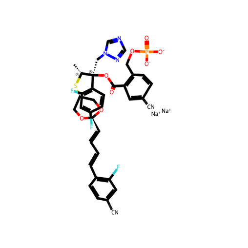 C[C@@H](S[C@H]1CO[C@H](C=CC=Cc2ccc(C#N)cc2F)OC1)[C@@](Cn1cncn1)(OC(=O)c1cc(C#N)ccc1COP(=O)([O-])[O-])c1ccc(F)cc1F.[Na+].[Na+]